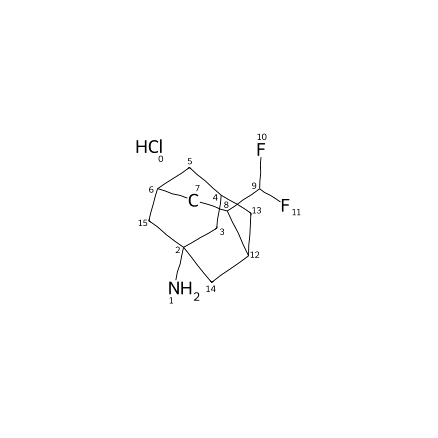 Cl.NC12CC3CC(CC(C(F)F)C(C3)C1)C2